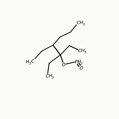 CCCC(CC)C(CC)(CC)O[PH2]=O